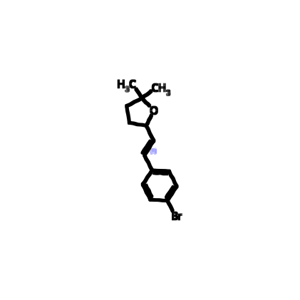 CC1(C)CCC(/C=C/c2ccc(Br)cc2)O1